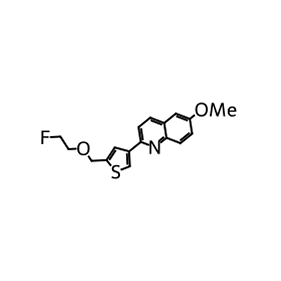 COc1ccc2nc(-c3csc(COCCF)c3)ccc2c1